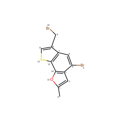 Cc1cc2c(Br)cc3c(CBr)csc3c2o1